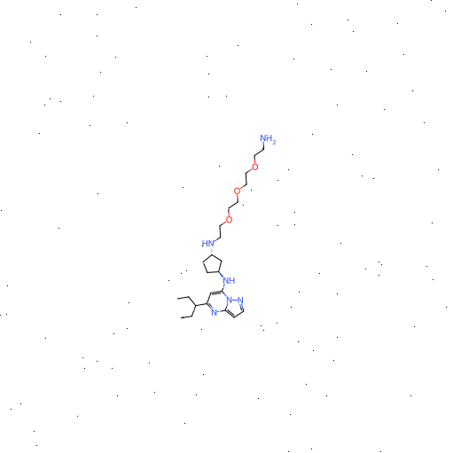 CCC(CC)c1cc(N[C@H]2CC[C@H](NCCOCCOCCOCCN)C2)n2nccc2n1